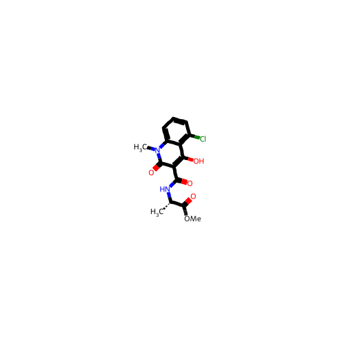 COC(=O)[C@H](C)NC(=O)c1c(O)c2c(Cl)cccc2n(C)c1=O